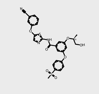 C[C@@H](CO)Oc1cc(Oc2ccc(S(C)(=O)=O)cc2)cc(C(=O)Nc2ncc(Oc3cccc(C#N)c3)s2)c1